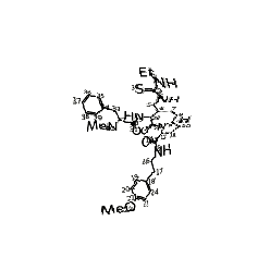 CCNC(=S)NC[C@H]1CC[C@H]2CC[C@@H](C(=O)NCCc3ccc(OC)cc3)N2C(=O)[C@H]1NC(=O)[C@@H](Cc1ccccc1)NC